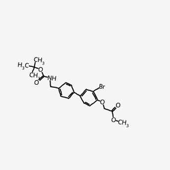 COC(=O)COc1ccc(-c2ccc(CNC(=O)OC(C)(C)C)cc2)cc1Br